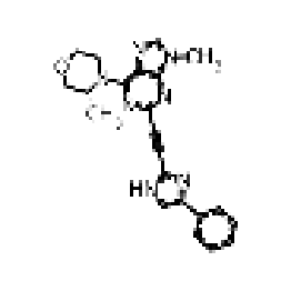 C[C@@H]1COCCN1c1nc(C#Cc2nc(-c3ccccc3)c[nH]2)nc2c1ncn2C